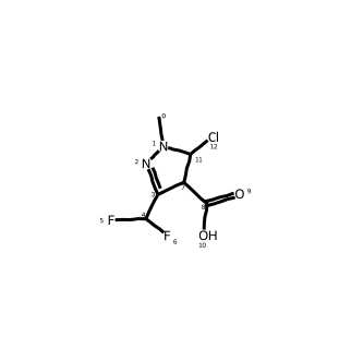 CN1N=C(C(F)F)C(C(=O)O)C1Cl